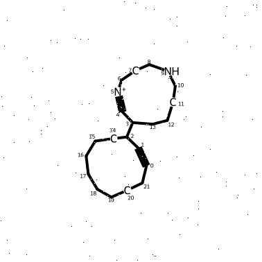 C1#CC(C2C#[N+]CCCNCCCC2)CCCCCCCC1